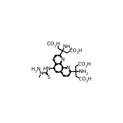 CN(N)C(=S)Nc1cc2ccc(C(N)(CC(=O)O)CC(=O)O)nc2c2nc(C(N)(CC(=O)O)CC(=O)O)ccc12